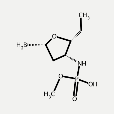 B[C@H]1C[C@@H](NP(=O)(O)OC)[C@@H](CC)O1